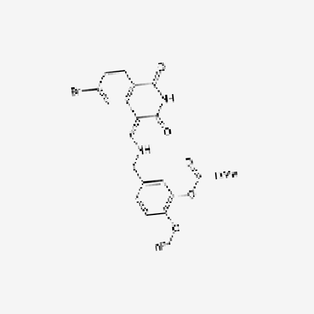 CCCOc1ccc(CN/C=C2\C(=O)NC(=O)c3ccc(Br)cc32)cc1OC(=O)OC